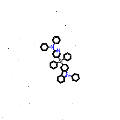 c1ccc(N(c2ccccc2)c2ccc([Si](c3ccccc3)(c3ccccc3)c3ccc4c(c3)c3ccccc3n4-c3ccccc3)cn2)cc1